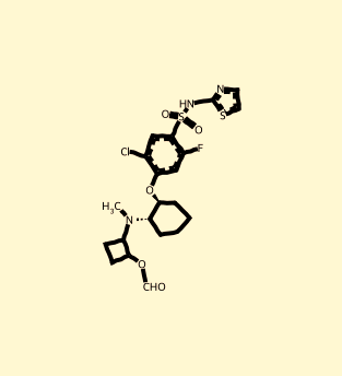 CN(C1CCC1OC=O)[C@H]1CCCC[C@@H]1Oc1cc(F)c(S(=O)(=O)Nc2nccs2)cc1Cl